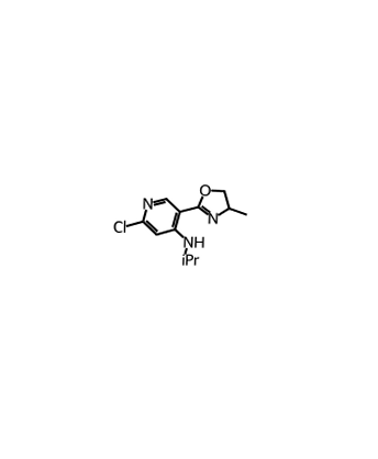 CC1COC(c2cnc(Cl)cc2NC(C)C)=N1